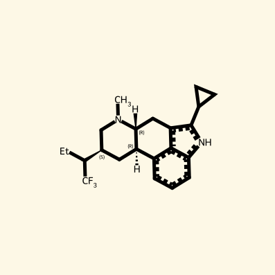 CC[C]([C@@H]1C[C@@H]2c3cccc4[nH]c(C5CC5)c(c34)C[C@H]2N(C)C1)C(F)(F)F